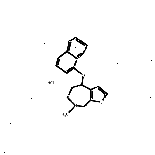 CN1CCC(Oc2cccc3ccccc23)c2ccsc2C1.Cl